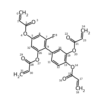 C=CC(=O)Oc1cc(F)c(-c2ccc(OC(=O)C=C)c(OC(=O)C=C)c2)c(OC(=O)C=C)c1